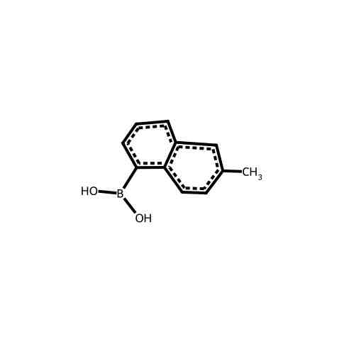 Cc1ccc2c(B(O)O)cccc2c1